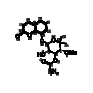 CO[C@@H]1C(OC(N)=O)[C@H](O)C(Oc2cccc3ccc(=O)oc23)OC1(C)C